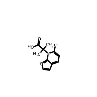 CC(C)(C(=O)O)n1c(Cl)ccc2ccnc1-2